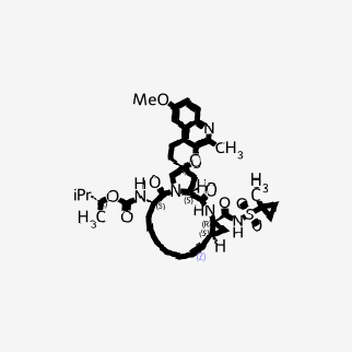 COc1ccc2nc(C)c3c(c2c1)CC[C@]1(C[C@H]2C(=O)N[C@]4(C(=O)NS(=O)(=O)C5(C)CC5)C[C@H]4/C=C\CCCCC[C@H](NC(=O)O[C@H](C)C(C)C)C(=O)N2C1)O3